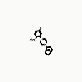 COc1ccc(Cl)cc1N1CCN(C2CCC3CCC2C3)CC1